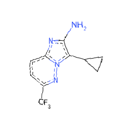 Nc1nc2ccc(C(F)(F)F)nn2c1C1CC1